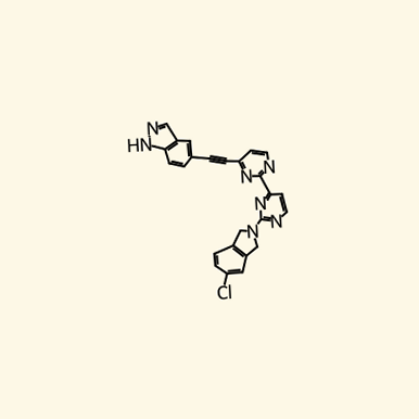 Clc1ccc2c(c1)CN(c1nccc(-c3nccc(C#Cc4ccc5[nH]ncc5c4)n3)n1)C2